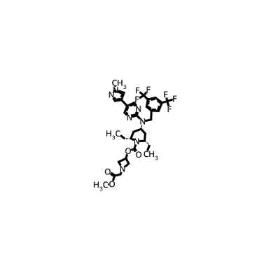 CC[C@@H]1C[C@H](N(Cc2cc(C(F)(F)F)cc(C(F)(F)F)c2)c2ncc(-c3cnn(C)c3)cn2)C[C@H](CC)N1C(=O)OC1CN(CC(=O)OC)C1